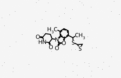 Cc1ccc(C(C)SC2CS2)c2oc(=O)n(C3CCC(=O)NC3=O)c12